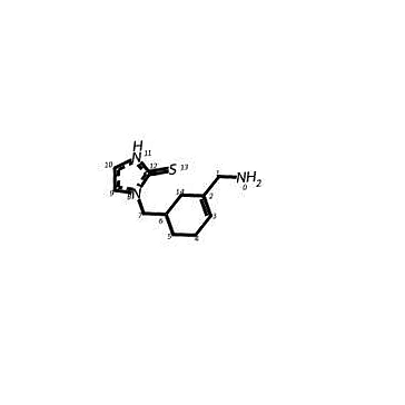 NCC1=CCCC(Cn2cc[nH]c2=S)C1